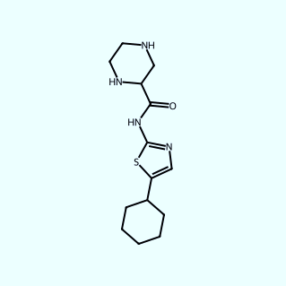 O=C(Nc1ncc(C2CCCCC2)s1)C1CNCCN1